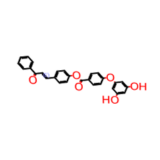 O=C(/C=C/c1ccc(OC(=O)c2ccc(Oc3cc(O)cc(O)c3)cc2)cc1)c1ccccc1